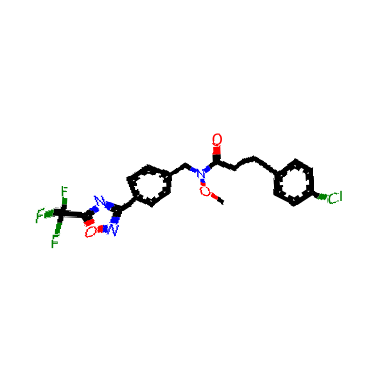 CON(Cc1ccc(-c2noc(C(F)(F)F)n2)cc1)C(=O)CCc1ccc(Cl)cc1